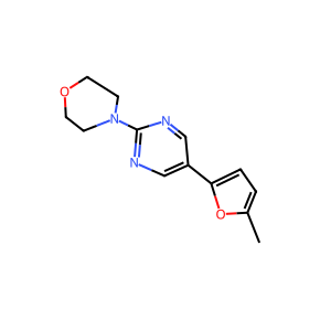 Cc1ccc(-c2cnc(N3CCOCC3)nc2)o1